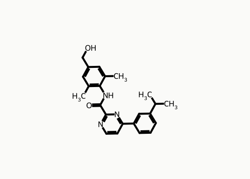 Cc1cc(CO)cc(C)c1NC(=O)c1nccc(-c2cccc(C(C)C)c2)n1